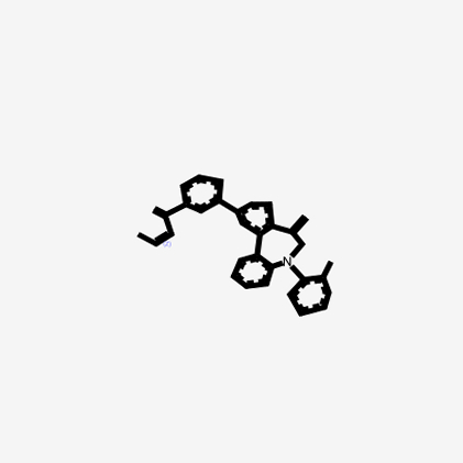 C=C(/C=C\C)c1cccc(-c2ccc3c(c2)-c2ccccc2N(c2ccccc2C)CC3=C)c1